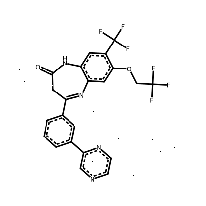 O=C1CC(c2cccc(-c3cnccn3)c2)=Nc2cc(OCC(F)(F)F)c(C(F)(F)F)cc2N1